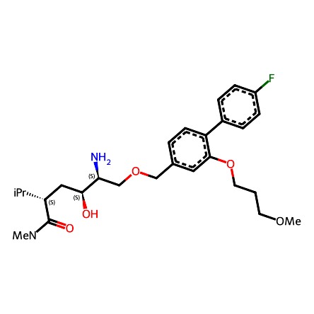 CNC(=O)[C@@H](C[C@H](O)[C@@H](N)COCc1ccc(-c2ccc(F)cc2)c(OCCCOC)c1)C(C)C